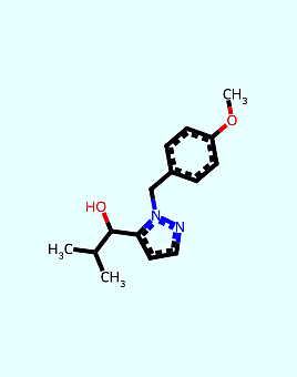 COc1ccc(Cn2nccc2C(O)C(C)C)cc1